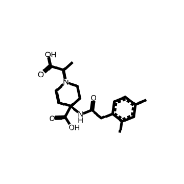 Cc1ccc(CC(=O)NC2(C(=O)O)CCN(C(C)C(=O)O)CC2)c(C)c1